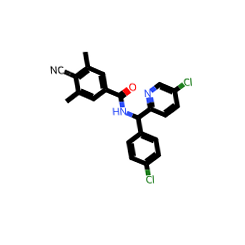 Cc1cc(C(=O)NC(c2ccc(Cl)cc2)c2ccc(Cl)cn2)cc(C)c1C#N